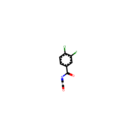 O=C=NC(=O)c1ccc(Cl)c(F)c1